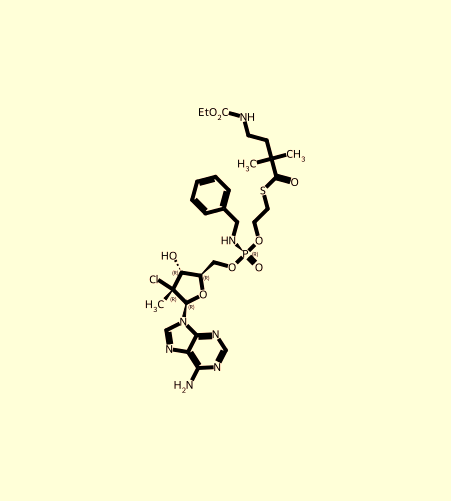 CCOC(=O)NCCC(C)(C)C(=O)SCCO[P@@](=O)(NCc1ccccc1)OC[C@H]1O[C@@H](n2cnc3c(N)ncnc32)[C@](C)(Cl)[C@@H]1O